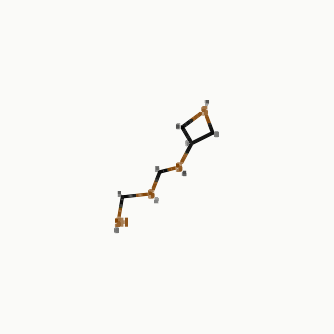 SCSCSC1CSC1